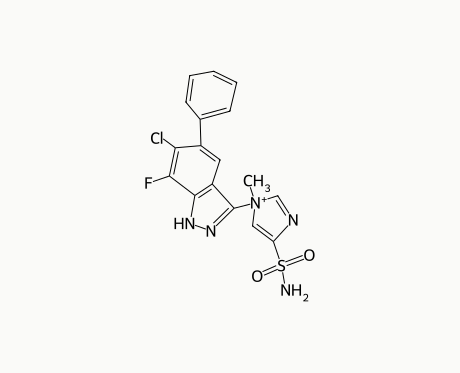 C[N+]1(c2n[nH]c3c(F)c(Cl)c(-c4ccccc4)cc23)C=NC(S(N)(=O)=O)=C1